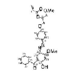 C=CC(=O)OC(COC)COc1ccc(N=Nc2cc(C(=O)c3ccccc3)c(O)cc2OC)cc1